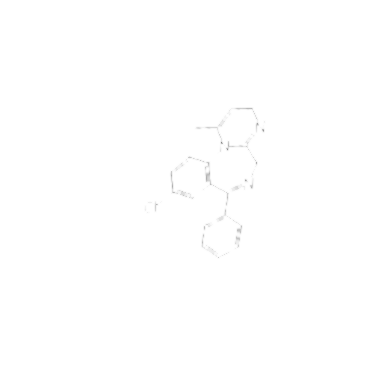 CC1=CCN=C2CN=C(c3ccccc3)c3cc(Cl)ccc3N12